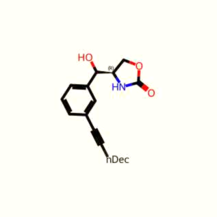 CCCCCCCCCCC#Cc1cccc(C(O)[C@H]2COC(=O)N2)c1